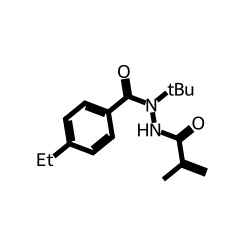 C=C(C)C(=O)NN(C(=O)c1ccc(CC)cc1)C(C)(C)C